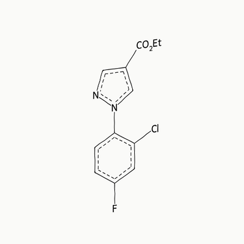 CCOC(=O)c1cnn(-c2ccc(F)cc2Cl)c1